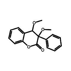 COC1c2ccccc2OC(=O)C1(OC)c1ccccc1